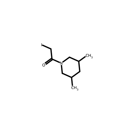 CC1CC(C)CN(C(=O)CI)C1